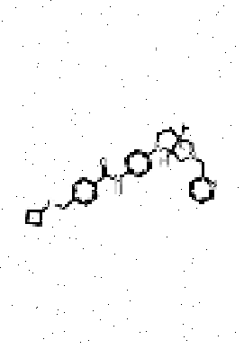 O=C(Nc1ccc(N2CC[C@@H]3CN(Cc4ccccn4)C[C@@H]32)cc1)c1ccc(COC2CCC2)cc1